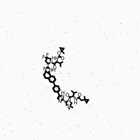 CC(C)[C@H](NC(=O)CC1(C)CC1)C(=O)N1C[Si](C)(C)C[C@H]1c1ncc(-c2ccc(-c3ccc4c(ccc5nc([C@@H]6CC(F)(F)CN6C(=O)[C@@H](NC(=O)OC6(C)CC6)C(C)C)[nH]c54)c3)cc2)[nH]1